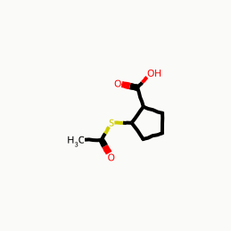 CC(=O)SC1CCCC1C(=O)O